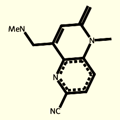 C=C1C=C(CNC)c2nc(C#N)ccc2N1C